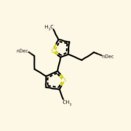 CCCCCCCCCCCCc1cc(C)sc1-c1sc(C)cc1CCCCCCCCCCCC